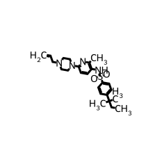 C=CCN1CCN(c2ccc(NS(=O)(=O)c3ccc(C(C)(C)CC)cc3)c(C)n2)CC1